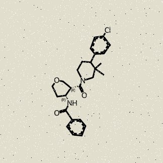 CC1(C)CN(C(=O)[C@H]2COCC[C@H]2NC(=O)c2ccccc2)CCC1c1ccc(Cl)cc1